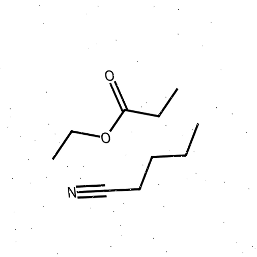 CCCCC#N.CCOC(=O)CC